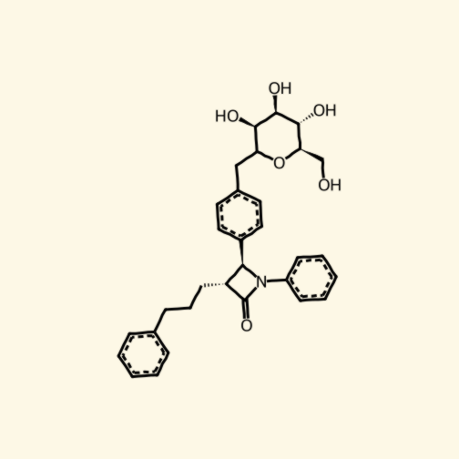 O=C1[C@H](CCCc2ccccc2)[C@@H](c2ccc(CC3O[C@H](CO)[C@@H](O)[C@H](O)[C@@H]3O)cc2)N1c1ccccc1